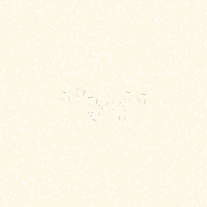 c1ccc(-c2cccc(-n3c4ccc(-n5c6ccc(-c7ccc8sc9ccccc9c8c7)cc6c6ncccc65)cc4c4ncccc43)c2)cc1